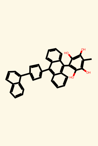 Cc1c(O)c(O)c(-c2c3ccccc3c(-c3ccc(-c4cccc5ccccc45)cc3)c3ccccc23)c(O)c1O